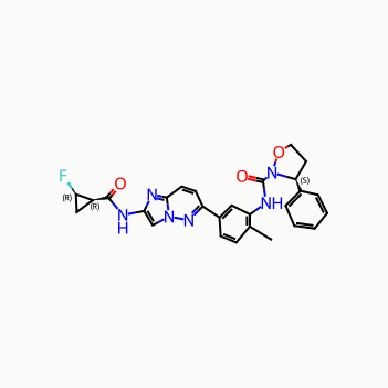 Cc1ccc(-c2ccc3nc(NC(=O)[C@H]4C[C@H]4F)cn3n2)cc1NC(=O)N1OCC[C@H]1c1ccccc1